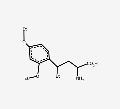 CCOc1ccc(C(CC)CC(N)C(=O)O)c(OCC)c1